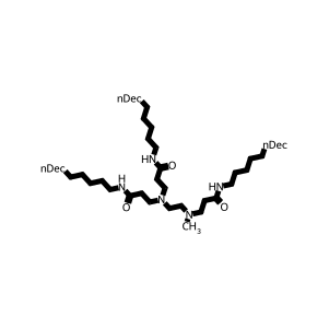 CCCCCCCCCCCCCCCNC(=O)CCN(C)CCN(CCC(=O)NCCCCCCCCCCCCCCC)CCC(=O)NCCCCCCCCCCCCCCC